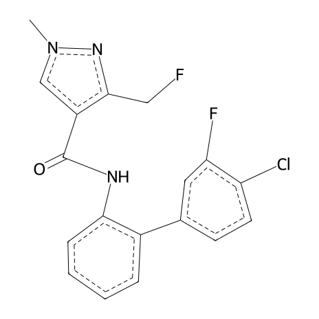 Cn1cc(C(=O)Nc2ccccc2-c2ccc(Cl)c(F)c2)c(CF)n1